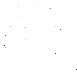 COc1cc(CN(CC2CC2)C(C)c2ccc3c(c2)CCO3)ccc1OCCN1C(=O)CCC1=O